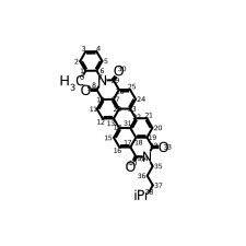 Cc1ccccc1N1C(=O)c2ccc3c4ccc5c6c(ccc(c7ccc(c2c37)C1=O)c64)C(=O)N(CCCC(C)C)C5=O